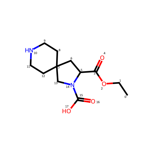 CCOC(=O)C1CC2(CCNCC2)CN1C(=O)O